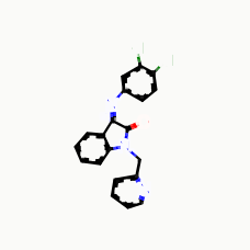 O=C1/C(=N\c2ccc(Cl)c(Cl)c2)c2ccccc2N1Cc1ccccn1